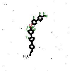 CC/C=C/C1CCC(c2ccc(-c3cc(F)c(C(F)(F)Oc4ccc(-c5ccc(C(F)F)c(F)c5)c(F)c4)c(F)c3)c(F)c2)CC1